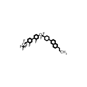 CCCc1ccc2cc(C3CCC(C(F)(F)Oc4ccc(-c5ccc(C(F)(F)OC(F)(F)F)c(F)c5)c(F)c4)CC3)ccc2c1